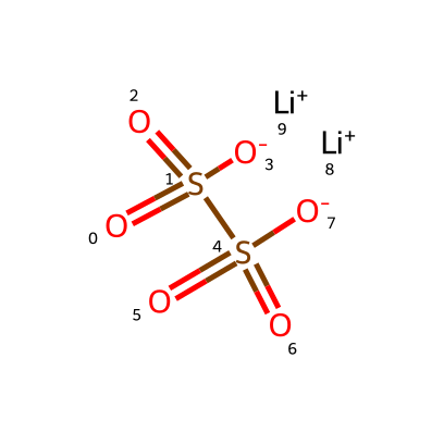 O=S(=O)([O-])S(=O)(=O)[O-].[Li+].[Li+]